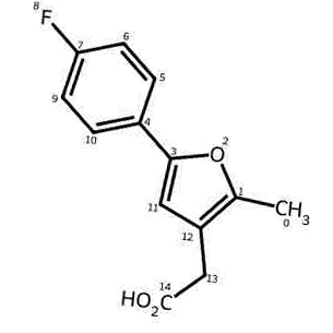 Cc1oc(-c2ccc(F)cc2)cc1CC(=O)O